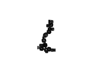 COc1cc([C@@H]2COc3cc(O)ccc3[C@@H]2c2ccc(N3CCC(CN4CCN(c5ccc6c(c5)CN([C@H]5CCC(=O)NC5=O)C6=O)CC4)CC3)cc2)ccc1F